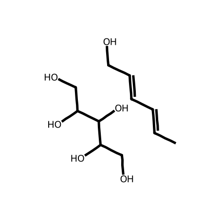 C/C=C/C=C/CO.OCC(O)C(O)C(O)CO